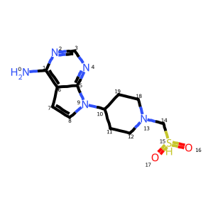 Nc1ncnc2c1ccn2C1CCN(C[SH](=O)=O)CC1